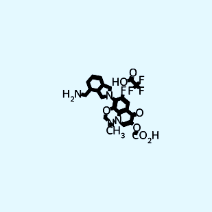 CN1COc2c(N3CC4C=CCC(CN)C4C3)c(F)cc3c(=O)c(OC(=O)O)cn1c23.O=C(O)C(F)(F)F